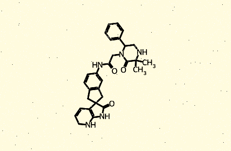 CC1(C)NCC(c2ccccc2)N(CC(=O)Nc2ccc3c(c2)CC2(C3)C(=O)NC3=C2C=CCN3)C1=O